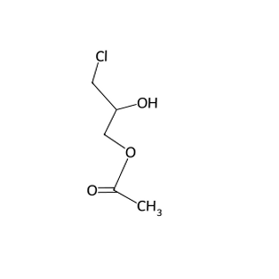 CC(=O)OCC(O)CCl